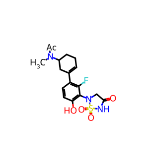 CC(=O)N(C)C1CCC=C(c2ccc(O)c(N3CC(=O)NS3(=O)=O)c2F)C1